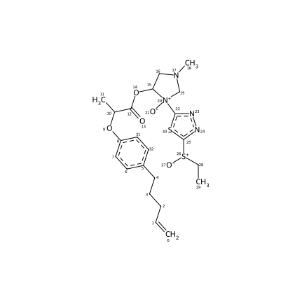 C=CCCCc1ccc(OC(C)C(=O)OC2CN(C)C[N+]2([O-])c2nnc([S+]([O-])CC)s2)cc1